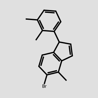 Cc1cccc(C2C=Cc3c2ccc(Br)c3C)c1C